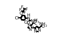 C[C@H](NC(=O)Nc1cc(OC(F)(F)C(F)F)c(Cl)cc1Cl)c1ncnn1-c1cc(C(N)=O)ncn1